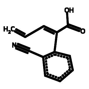 C=C/C=C(/C(=O)O)c1ccccc1C#N